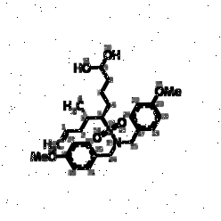 C=CC[C@H](C)[C@@H](CCCC(O)O)S(=O)(=O)N(Cc1ccc(OC)cc1)Cc1ccc(OC)cc1